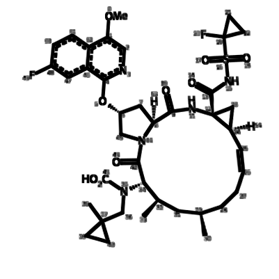 COc1cnc(O[C@@H]2C[C@H]3C(=O)N[C@]4(C(=O)NS(=O)(=O)C5(F)CC5)C[C@H]4C=CCC[C@@H](C)C[C@@H](C)[C@H](N(CC4(C)CC4)C(=O)O)C(=O)N3C2)c2cc(F)ccc12